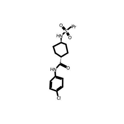 CC(C)S(=O)(=O)N[C@H]1CC[C@H](C(=O)Nc2ccc(Cl)cc2)CC1